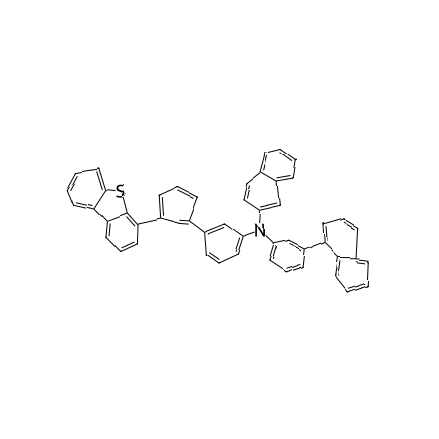 c1cc(-c2cccc(N(c3cccc(-c4cccc5ccccc45)c3)c3ccc4ccccc4c3)c2)cc(-c2cccc3c2sc2ccccc23)c1